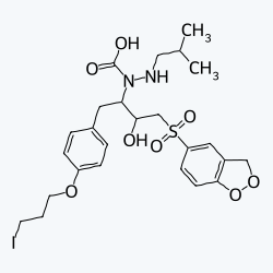 CC(C)CNN(C(=O)O)C(Cc1ccc(OCCCI)cc1)C(O)CS(=O)(=O)c1ccc2c(c1)COO2